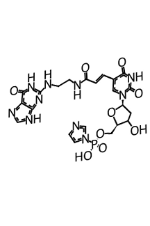 O=C(/C=C/c1cn([C@H]2CC(O)[C@@H](COP(=O)(O)n3ccnc3)O2)c(=O)[nH]c1=O)NCCNc1nc2[nH]cnc2c(=O)[nH]1